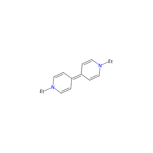 CCN1C=CC(=C2C=CN(CC)C=C2)C=C1